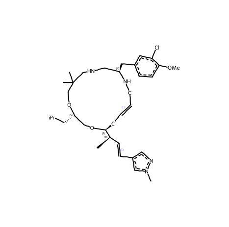 COc1ccc(C[C@@H]2CNCC(C)(C)CO[C@@H](CC(C)C)CO[C@H]([C@H](C)/C=C/c3cnn(C)c3)C/C=C/CN2)cc1Cl